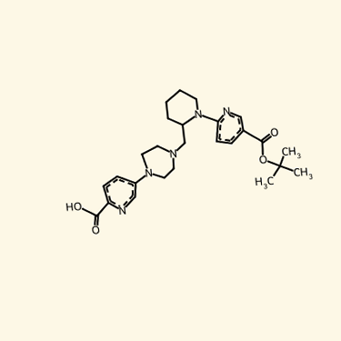 CC(C)(C)OC(=O)c1ccc(N2CCCCC2CN2CCN(c3ccc(C(=O)O)nc3)CC2)nc1